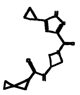 O=C(NC1CN(C(=O)c2cc(C3CC3)[nH]n2)C1)C1CC12CC2